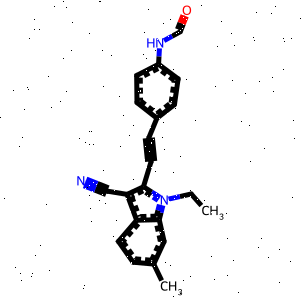 CCn1c(C#Cc2ccc(NC=O)cc2)c(C#N)c2ccc(C)cc21